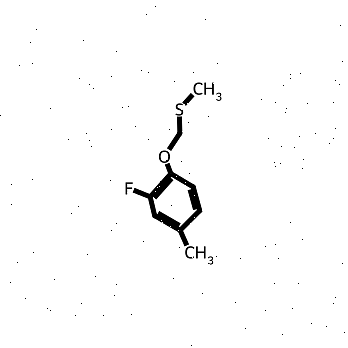 CSCOc1ccc(C)cc1F